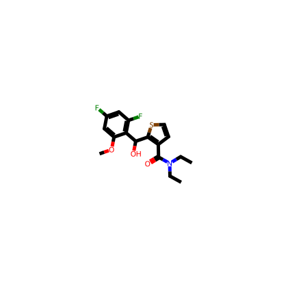 CCN(CC)C(=O)c1ccsc1C(O)c1c(F)cc(F)cc1OC